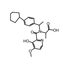 COc1ccnc(C(=O)N(C(C)C(=O)O)C(C)c2ccc(C3CCCCC3)cc2)c1O